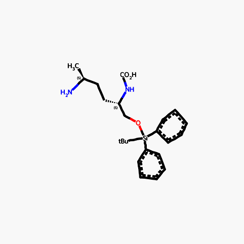 C[C@H](N)CC[C@@H](CO[Si](c1ccccc1)(c1ccccc1)C(C)(C)C)NC(=O)O